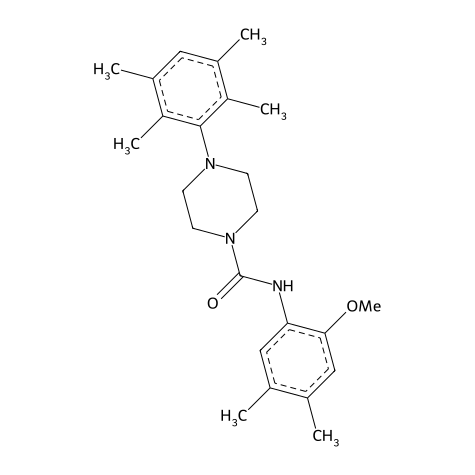 COc1cc(C)c(C)cc1NC(=O)N1CCN(c2c(C)c(C)cc(C)c2C)CC1